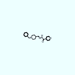 O=C(NN=CC1CCN(Cc2ccccc2)CC1)c1ccncc1